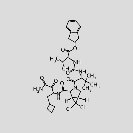 CC(C)[C@H](NC(=O)N[C@H](C(=O)N1C[C@H]2[C@@H]([C@H]1C(=O)NC(CC1CCC1)C(=O)C(N)=O)C2(Cl)Cl)C(C)(C)C)C(=O)OC1Cc2ccccc2C1